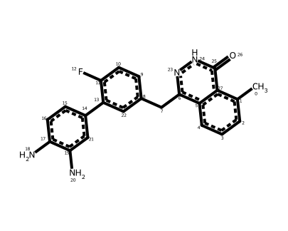 Cc1cccc2c(Cc3ccc(F)c(-c4ccc(N)c(N)c4)c3)n[nH]c(=O)c12